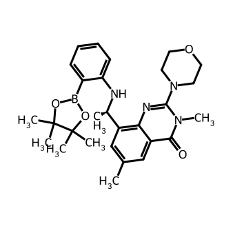 Cc1cc([C@@H](C)Nc2ccccc2B2OC(C)(C)C(C)(C)O2)c2nc(N3CCOCC3)n(C)c(=O)c2c1